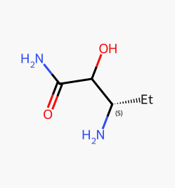 CC[C@H](N)C(O)C(N)=O